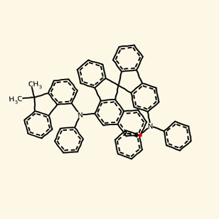 CC1(C)c2ccccc2-c2c(N(c3ccccc3)c3cc4ccccc4c4c3-c3ccccc3C43c4ccccc4-c4ccc(N(c5ccccc5)c5ccccc5)cc43)cccc21